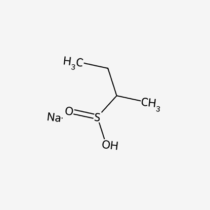 CCC(C)S(=O)O.[Na]